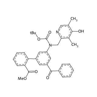 COC(=O)c1ccccc1-c1cc(C(=O)c2ccccc2)cc(N(Cc2ncc(C)c(O)c2C)C(=O)OC(C)(C)C)c1